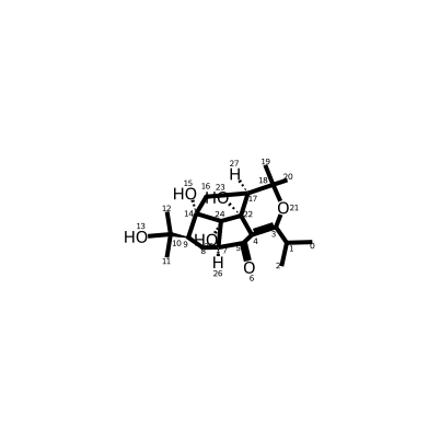 CC(C)C1=C2C(=O)[C@H]3C[C@@H](C(C)(C)O)[C@@]4(O)C[C@@H](C(C)(C)O1)[C@]2(O)[C@@]34O